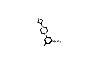 CNc1cc(C)cc(N2CCN(C3COC3)CC2)c1